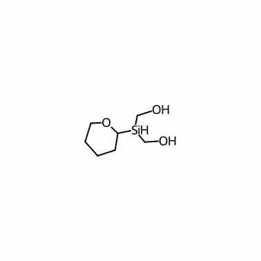 OC[SiH](CO)C1CCCCO1